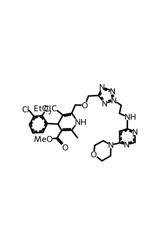 CCOC(=O)C1=C(COCc2nnn(CCNc3cc(N4CCOCC4)ncn3)n2)NC(C)=C(C(=O)OC)C1c1cccc(Cl)c1Cl